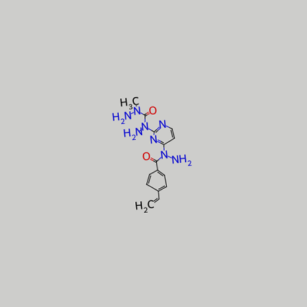 C=Cc1ccc(C(=O)N(N)c2ccnc(N(N)C(=O)N(C)N)n2)cc1